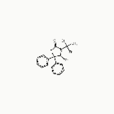 CCC(C)(CC)N1C(=O)OC(c2ccccc2)(c2ccccc2)[C@@H]1C(C)C